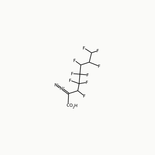 [N-]=[N+]=C(C(=O)O)C(F)C(F)(F)C(F)(F)C(F)C(F)C(F)F